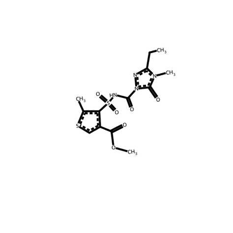 CCc1nn(C(=O)NS(=O)(=O)c2c(C(=O)OC)csc2C)c(=O)n1C